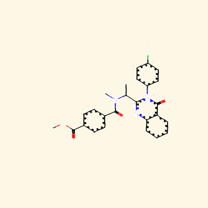 COC(=O)c1ccc(C(=O)N(C)C(C)c2nc3ccccc3c(=O)n2-c2ccc(Cl)cc2)cc1